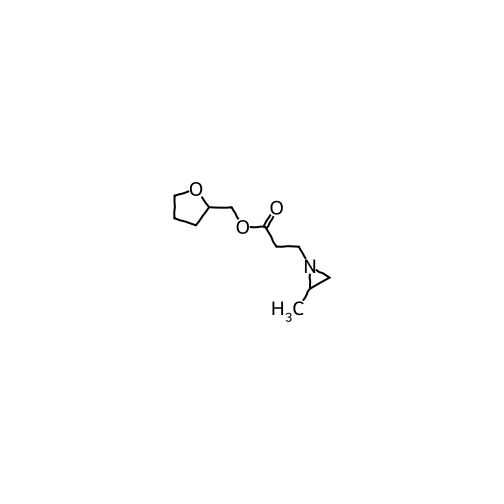 CC1CN1CCC(=O)OCC1CCCO1